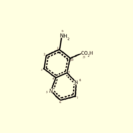 Nc1ccc2nccnc2c1C(=O)O